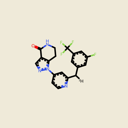 [2H]C(c1cc(F)cc(C(F)(F)F)c1)c1cc(-n2ncc3c2CCNC3=O)ccn1